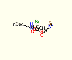 CCCCCCCCCCCCCCCNC(=O)OCC(COC(=O)CCCCC[n+]1ccsc1)=C(C)C.[Br-]